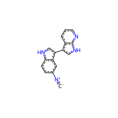 [C-]#[N+]c1ccc2[nH]cc(-c3c[nH]c4ncccc34)c2c1